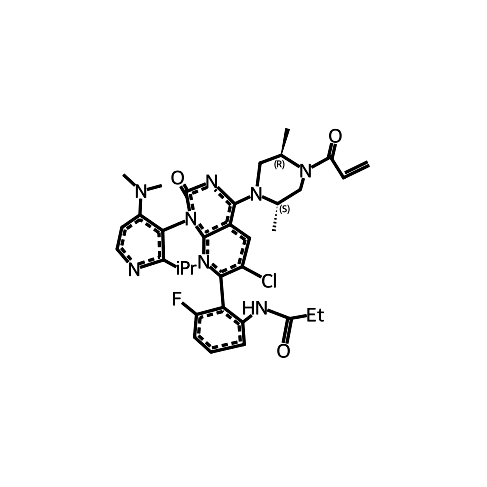 C=CC(=O)N1C[C@H](C)N(c2nc(=O)n(-c3c(N(C)C)ccnc3C(C)C)c3nc(-c4c(F)cccc4NC(=O)CC)c(Cl)cc23)C[C@H]1C